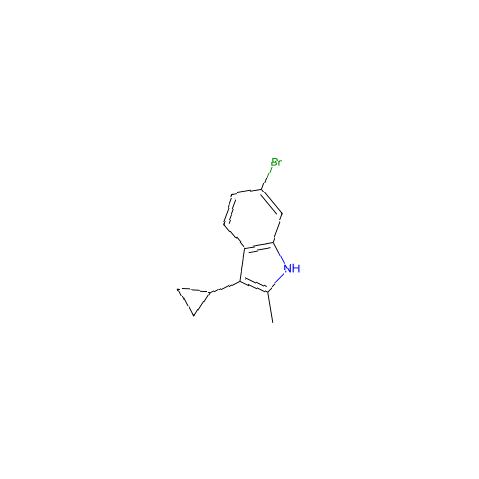 Cc1[nH]c2cc(Br)ccc2c1C1CC1